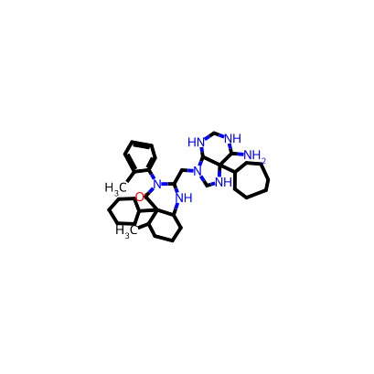 Cc1ccccc1N1C(=O)C2(C3CCCCC3)C(C)CCCC2NC1CN1CNC2(C3CCCCCC3)C(N)NCNC12